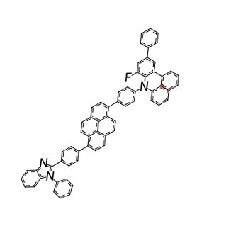 Fc1cc(-c2ccccc2)cc(-c2ccccc2)c1N(c1ccccc1)c1ccc(-c2ccc3ccc4c(-c5ccc(-c6nc7ccccc7n6-c6ccccc6)cc5)ccc5ccc2c3c54)cc1